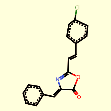 O=C1OC(/C=C/c2ccc(Cl)cc2)=NC1=Cc1ccccc1